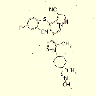 C/N=C/C1(C)CCC(n2ncc(-c3cc(Sc4ccc(F)cc4C#N)c4c(C#N)cnn4c3)c2C)CC1